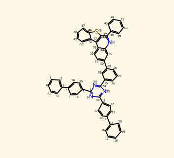 c1ccc(-c2ccc(-c3nc(-c4ccc(-c5ccccc5)cc4)nc(-c4cccc(-c5ccc6c(c5)nc(-c5ccccc5)c5sc7ccccc7c56)c4)n3)cc2)cc1